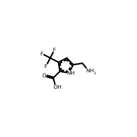 NCc1cc(C(F)(F)F)c(C(=O)O)[nH]1